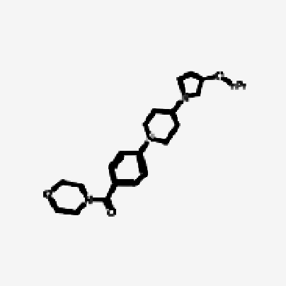 CCCO[C@@H]1CCN(C2CCN(c3ccc(C(=O)N4CCOCC4)cc3)CC2)C1